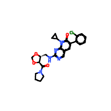 O=C([C@H]1OCO[C@@H]1CNc1ncc2cc(-c3ccccc3Cl)c(=O)n(C3CC3)c2n1)N1CCCC1